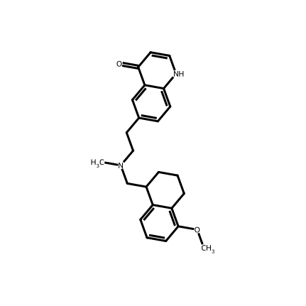 COc1cccc2c1CCCC2CN(C)CCc1ccc2[nH]ccc(=O)c2c1